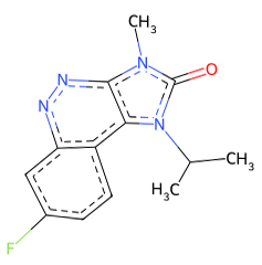 CC(C)n1c(=O)n(C)c2nnc3cc(F)ccc3c21